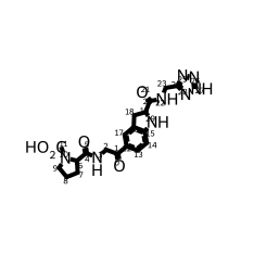 O=C(CNC(=O)C1CCCN1C(=O)O)c1ccc2c(c1)CC(C(=O)NCc1nn[nH]n1)N2